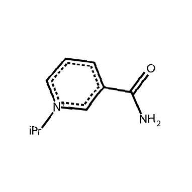 CC(C)[n+]1cccc(C(N)=O)c1